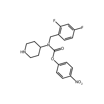 O=C(Oc1ccc([N+](=O)[O-])cc1)N(Cc1ccc(F)cc1F)C1CCNCC1